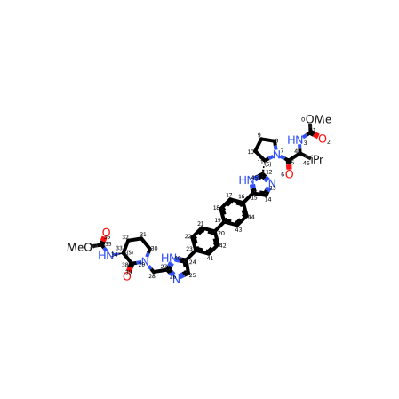 COC(=O)NC(C(=O)N1CCC[C@H]1c1ncc(-c2ccc(-c3ccc(-c4cnc(CN5CCC[C@H](NC(=O)OC)C5=O)[nH]4)cc3)cc2)[nH]1)C(C)C